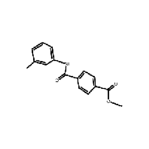 COC(=O)c1ccc(C(=O)Nc2cccc(C)c2)cc1